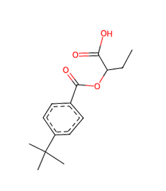 CCC(OC(=O)c1ccc(C(C)(C)C)cc1)C(=O)O